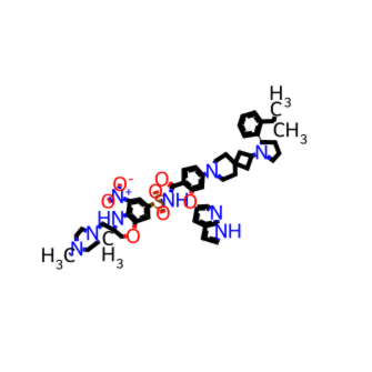 CC(C)c1ccccc1[C@@H]1CCCN1C1CC2(CCN(c3ccc(C(=O)NS(=O)(=O)c4cc5c(c([N+](=O)[O-])c4)NC(C)(CN4CCN(C)CC4)CO5)c(Oc4cnc5[nH]ccc5c4)c3)CC2)C1